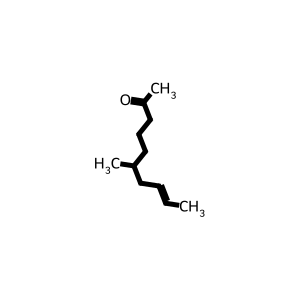 C/C=C/CC(C)CCCC(C)=O